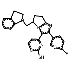 Fc1ccc(-c2nc3n(c2-c2ccnc(S)n2)C(CN2CCc4ccccc42)CC3)cc1